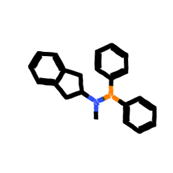 CN(C1Cc2ccccc2C1)P(c1ccccc1)c1ccccc1